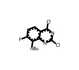 CCCCc1c(F)ccc2c(Cl)nc(Cl)nc12